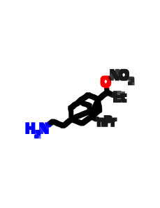 CCCC12CC3CC(CCN)(C1)CC(C(CC)O[N+](=O)[O-])(C3)C2